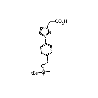 CC(C)(C)[Si](C)(C)OCc1ccc(-n2ccc(CC(=O)O)n2)cc1